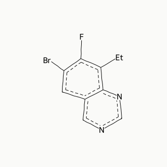 CCc1c(F)c(Br)cc2cncnc12